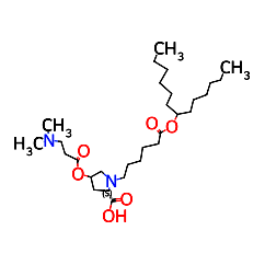 CCCCCCC(CCCCCC)OC(=O)CCCCCN1CC(OC(=O)CCN(C)C)C[C@H]1C(=O)O